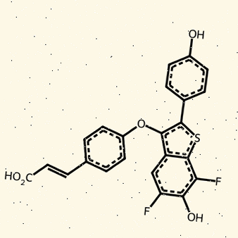 O=C(O)/C=C/c1ccc(Oc2c(-c3ccc(O)cc3)sc3c(F)c(O)c(F)cc23)cc1